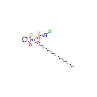 CCCCCCCCCCCCCCCCCCOCC(COC(=O)NCCCl)N1C(=O)c2ccccc2C1=O